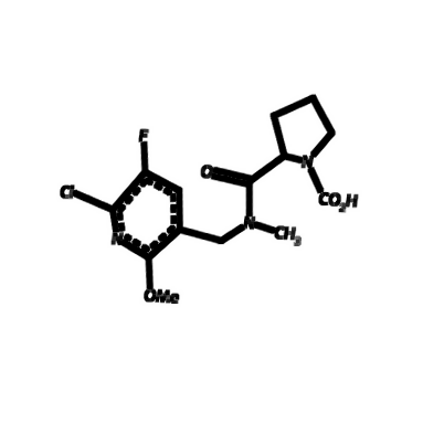 COc1nc(Cl)c(F)cc1CN(C)C(=O)C1CCCN1C(=O)O